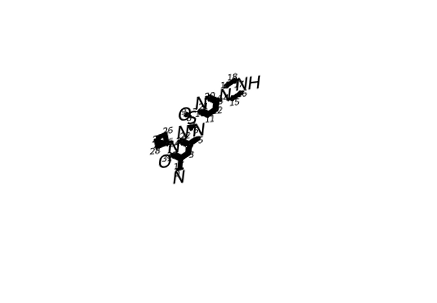 N#Cc1cc2cnc([S+]([O-])c3ccc(N4CCNCC4)cn3)nc2n(C23CC(C2)C3)c1=O